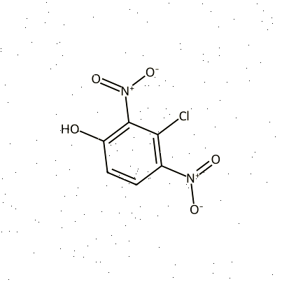 O=[N+]([O-])c1ccc(O)c([N+](=O)[O-])c1Cl